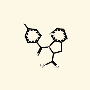 NC(=O)C1Cc2cccnc2N1C(=O)c1ccc(F)cc1